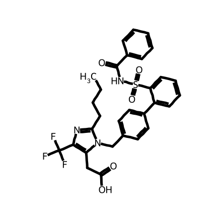 CCCCc1nc(C(F)(F)F)c(CC(=O)O)n1Cc1ccc(-c2ccccc2S(=O)(=O)NC(=O)c2ccccc2)cc1